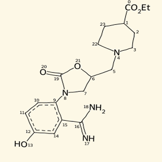 CCOC(=O)C1CCN(CC2CN(c3ccc(O)cc3C(=N)N)C(=O)O2)CC1